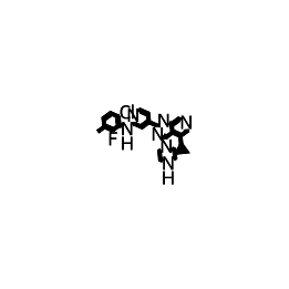 Cc1ccc(Cl)c(Nc2cc(-c3nc(N4CCNCC4)c4c(C5CC5)cncc4n3)ccn2)c1F